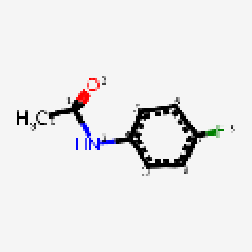 CC(=O)Nc1[c]cc(F)cc1